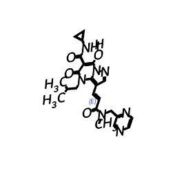 CC(C)Cn1c(=O)c(C(=O)NC2CC2)c(O)n2ncc(/C=C/C(=O)N(C)Cc3cnccn3)c12